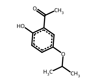 CC(=O)c1cc(OC(C)C)ccc1O